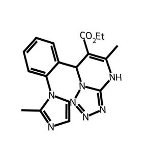 CCOC(=O)C1=C(C)Nc2nnnn2C1c1ccccc1-n1ccnc1C